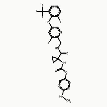 CNc1ncc(OC(=O)NC2(C(=O)NCc3ncc(Nc4c(F)cccc4C(F)(F)F)cc3F)CC2)cn1